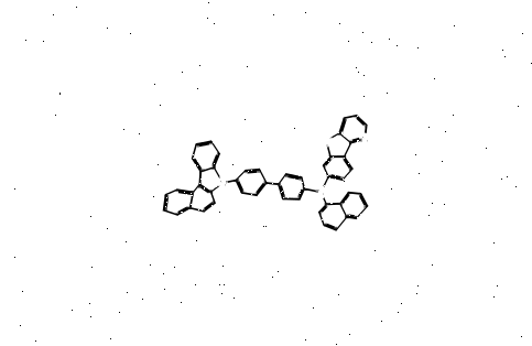 c1ccc2c(N(c3ccc(-c4ccc(-n5c6ccccc6c6c7ccccc7ccc65)cc4)cc3)c3ccc4c(c3)oc3cccnc34)cccc2c1